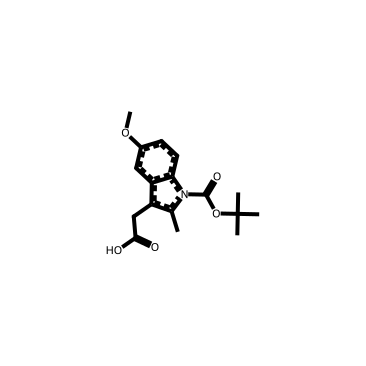 COc1ccc2c(c1)c(CC(=O)O)c(C)n2C(=O)OC(C)(C)C